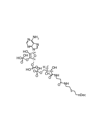 CCCCCCCCCCCCSCCNC(=O)CCNC(=O)[C@H](O)C(C)(C)COP(=O)(O)OP(=O)(O)OC[C@H]1O[C@@H](n2cnc3c(N)ncnc32)[C@H](O)[C@@H]1OP(=O)(O)O